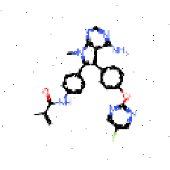 C=C(C)C(=O)Nc1ccc(-c2c(-c3ccc(Oc4ncc(F)cn4)cc3)c3c(N)ncnc3n2C)cc1